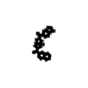 O=C(c1ccc2ccccc2c1)N1C=C2CN(C(=O)c3ccc4[nH]nnc4c3)C[C@@H]2C1